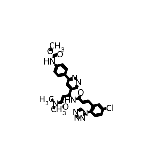 COC(=O)Nc1ccc(-c2cc(C(CC(=O)N(C)C)NC(=O)/C=C/c3cc(Cl)ccc3-n3cnnn3)cnn2)cc1